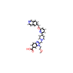 COCCn1c(CN2CCC(c3cccc(OCc4ccc5cnccc5c4)n3)CC2)nc2ccc(C(=O)O)cc21